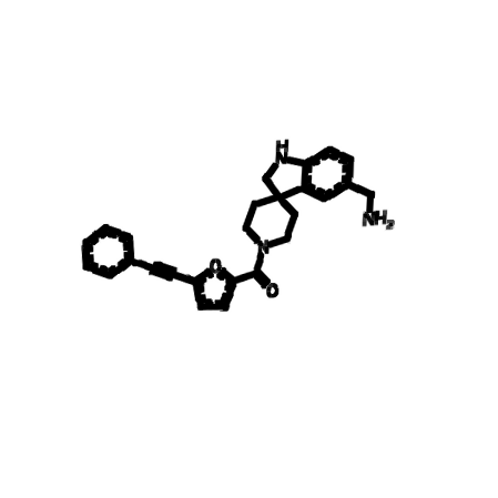 NCc1ccc2c(c1)C1(CCN(C(=O)c3ccc(C#Cc4ccccc4)o3)CC1)CN2